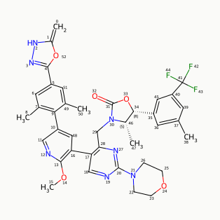 C=C1NN=C(c2cc(C)c(-c3cnc(OC)c(-c4cnc(N5CCOCC5)nc4CN4C(=O)O[C@H](c5cc(C)cc(C(F)(F)F)c5)[C@@H]4C)c3)c(C)c2)O1